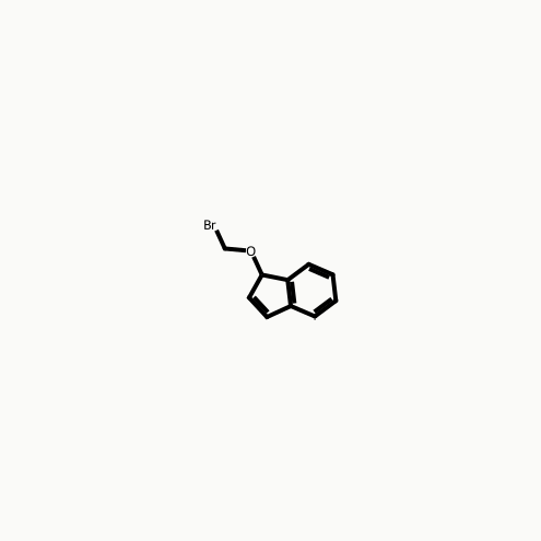 BrCOC1C=Cc2[c]cccc21